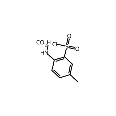 Cc1ccc(NC(=O)O)c(S(=O)(=O)Cl)c1